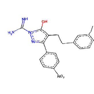 Cc1cccc(CCc2c(-c3ccc([N+](=O)[O-])cc3)nn(C(=N)N)c2O)c1